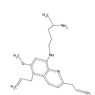 C=CCc1ccc2c(CC=C)c(OC)cc(NCCCC(C)N)c2n1